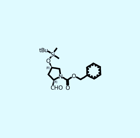 CC(C)(C)[Si](C)(C)O[C@@H]1C[C@H](C=O)N(C(=O)OCc2ccccc2)C1